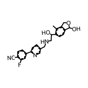 Cc1c(C(O)CNCc2ccc(-c3ccc(C#N)c(F)c3)nc2)ccc2c1COC2O